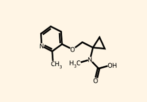 Cc1ncccc1OCC1(N(C)C(=O)O)CC1